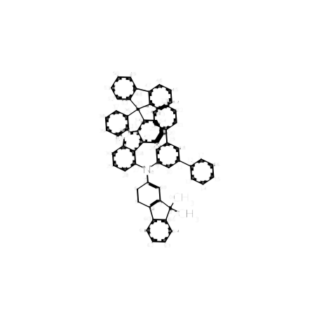 CC1(C)C2=C(CCC(N(c3cc(-c4ccccc4)cc(-c4ccccc4)c3)c3cccc4oc5c(C6(c7ccccc7)c7ccccc7-c7ccccc76)cc#cc5c34)=C2)c2ccccc21